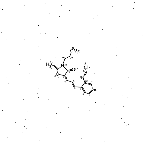 C=c1o/c(=C/C=C/c2ccccc2/N=C/Cl)c(=O)n1CCOC